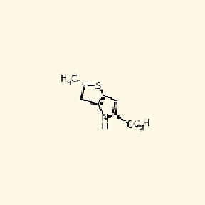 C[C@H]1Cc2[nH]c(C(=O)O)cc2S1